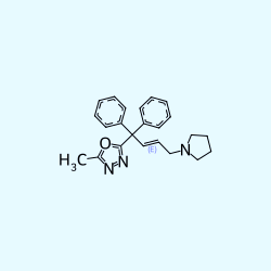 Cc1nnc(C(/C=C/CN2CCCC2)(c2ccccc2)c2ccccc2)o1